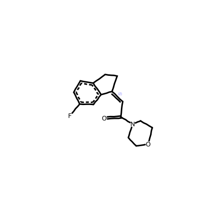 O=C(/C=C1/CCc2ccc(F)cc21)N1CCOCC1